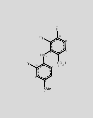 CSc1ccc(Nc2c(C(=O)O)ccc(F)c2F)c(F)c1